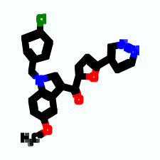 COc1ccc2c(c1)c(C(=O)c1ccc(-c3ccnnc3)o1)cn2Cc1ccc(Cl)cc1